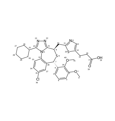 COc1cccc([C@H]2S[C@H](Cc3ncc(CCC(=O)O)s3)c3nnc(C4CCCCC4)n3-c3ccc(Cl)cc32)c1OC